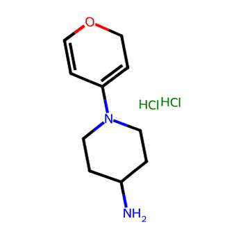 Cl.Cl.NC1CCN(C2=CCOC=C2)CC1